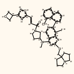 CN(c1nc(OCC23CCCN2CCC3)nc2c(F)c(-c3cccc4cccc(Cl)c34)ncc12)C1CCN(C(=O)/C=C/c2nc(C3COC3)no2)C1